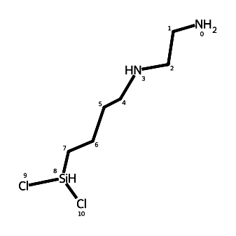 NCCNCCCC[SiH](Cl)Cl